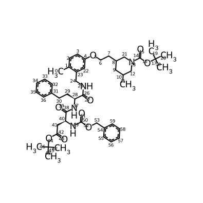 Cc1ccc(OCCC2CC(C)CN(C(=O)OC(C)(C)C)C2)cc1CNC(=O)[C@H](CCc1ccccc1)NC(=O)[C@H](CC(=O)OC(C)(C)C)NC(=O)OCc1ccccc1